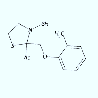 CC(=O)C1(COc2ccccc2C)SCCN1S